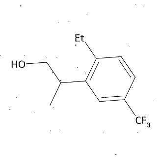 CCc1ccc(C(F)(F)F)cc1[C](C)CO